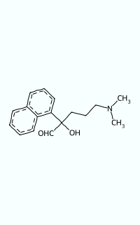 CN(C)CCCC(O)(C=O)c1cccc2ccccc12